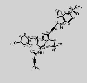 CC#CC(=O)Nc1cc(N[C@@H]2CCN(C)C[C@@H]2F)c2nc(C#CCNc3ccc(S(C)(=O)=O)cc3OC)c(CC(F)(F)F)n2c1